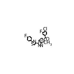 CC1c2nnc(-c3csc(-c4ccc(F)cc4)n3)n2CCN1C(=O)c1ccc(Cl)c(F)c1